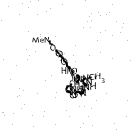 CNCCCOCCOCCOCCCNC(=O)CN1CCN(c2cc(Nc3ncc(C(=O)Nc4c(C)cccc4Cl)s3)nc(C)n2)CC1